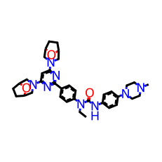 CCN(C(=O)Nc1ccc(N2CCN(C)CC2)cc1)c1ccc(-c2nc(N3CC4CCC(C3)O4)cc(N3CC4CCC(C3)O4)n2)cc1